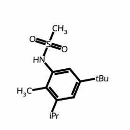 Cc1c(NS(C)(=O)=O)cc(C(C)(C)C)cc1C(C)C